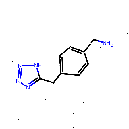 NCc1ccc(Cc2nnn[nH]2)cc1